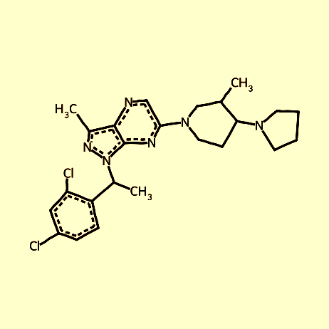 Cc1nn(C(C)c2ccc(Cl)cc2Cl)c2nc(N3CCC(N4CCCC4)C(C)C3)cnc12